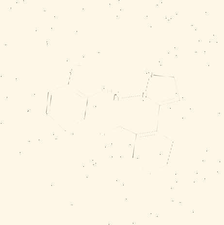 CC(C)N1C(C2=C(COc3cccc(O)c3C=O)COCC2)=CCN1C